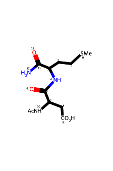 CSCCC(NC(=O)C(CC(=O)O)NC(C)=O)C(N)=O